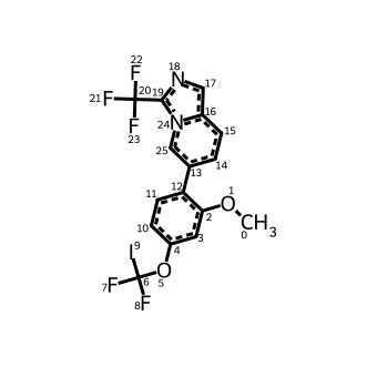 COc1cc(OC(F)(F)I)ccc1-c1ccc2cnc(C(F)(F)F)n2c1